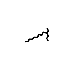 [CH2]CC(CCC)CCCCCCCCC